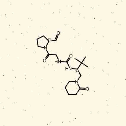 CC(C)(C)[C@@H](CN1CCCCC1=O)NC(=O)NCC(=O)N1CCC[C@H]1C=O